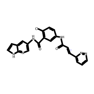 O=C(/C=C/c1cccnn1)Nc1ccc(Cl)c(C(=O)Nc2cnc3[nH]ccc3c2)c1